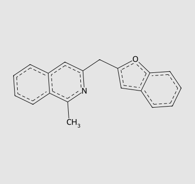 Cc1nc(Cc2cc3ccccc3o2)cc2ccccc12